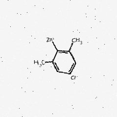 Cc1cccc(C)[c]1[Zn+].[Cl-]